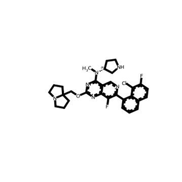 CN(c1nc(OCC23CCCN2CCC3)nc2c(F)c(-c3cccc4ccc(F)c(Cl)c34)ncc12)[C@@H]1CCNC1